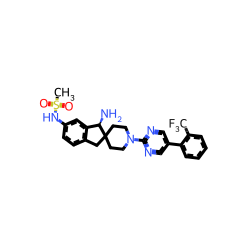 CS(=O)(=O)Nc1ccc2c(c1)[C@@H](N)C1(CCN(c3ncc(-c4ccccc4C(F)(F)F)cn3)CC1)C2